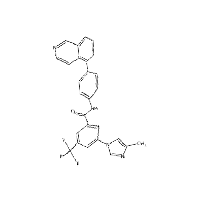 Cc1cn(-c2cc(C(=O)Nc3ccc(-c4cccc5cnccc45)cc3)cc(C(F)(F)F)c2)cn1